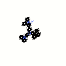 C1=CC2=CC(C1)c1cc(-c3ccc(N(c4ccc(-n5c6ccccc6c6ccccc65)cc4)c4ccc([Si](c5ccccc5)(c5ccccc5)c5ccccc5)cc4)cc3)ccc1Nc1ccccc12